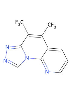 FC(F)(F)c1c(C(F)(F)F)c2nncn2c2ncccc12